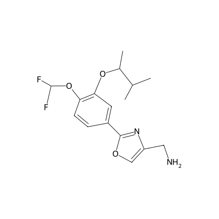 CC(C)C(C)Oc1cc(-c2nc(CN)co2)ccc1OC(F)F